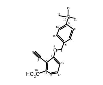 C#Cc1c(OCc2ccc([Si](C)(C)C)cc2)cccc1C(=O)O